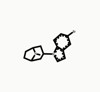 CN1C2CCC1CC(n1ccc3cc(Br)ccc31)C2